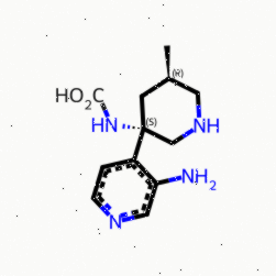 C[C@H]1CNC[C@@](NC(=O)O)(c2ccncc2N)C1